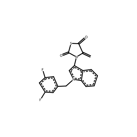 C=C1C(=O)SC(=O)N1c1cn(Cc2cc(F)cc(F)c2)c2ccccc12